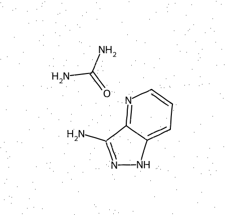 NC(N)=O.Nc1n[nH]c2cccnc12